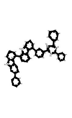 c1ccc(-c2ccc3c(c2)sc2cccc(-c4cccc5c4oc4cccc(-c6cccc(-c7nc(-c8ccccc8)nc(-c8ccccc8)n7)c6)c45)c23)cc1